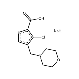 O=C(O)c1scc(CN2CCOCC2)c1Cl.[NaH]